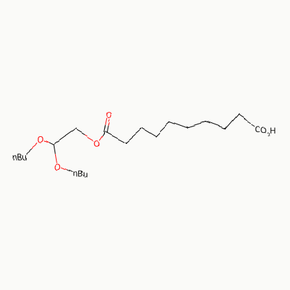 CCCCOC(COC(=O)CCCCCCCCC(=O)O)OCCCC